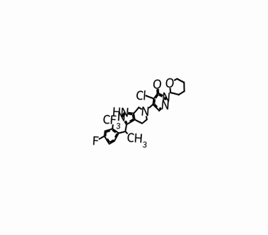 CC(c1ccc(F)cc1C(F)(F)F)c1n[nH]c2c1CCN(c1cnn(C3CCCCO3)c(=O)c1Cl)C2